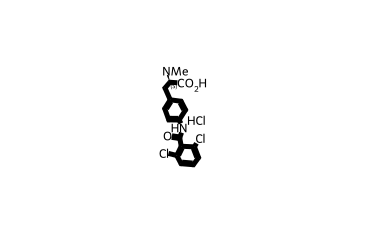 CN[C@@H](Cc1ccc(NC(=O)c2c(Cl)cccc2Cl)cc1)C(=O)O.Cl